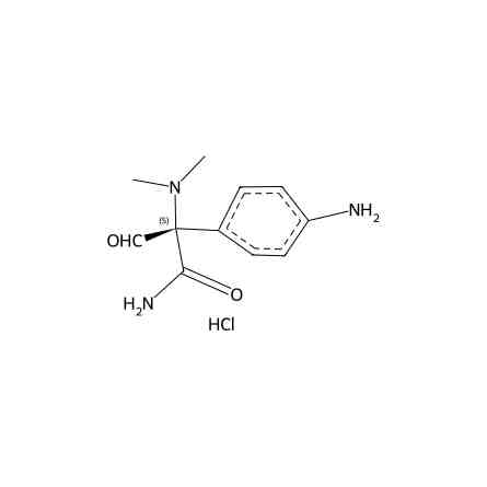 CN(C)[C@@](C=O)(C(N)=O)c1ccc(N)cc1.Cl